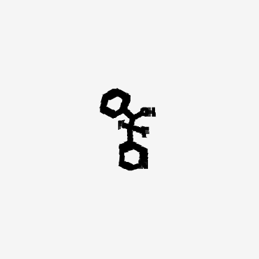 OC(c1ccccc1)C(F)(F)c1cccnc1